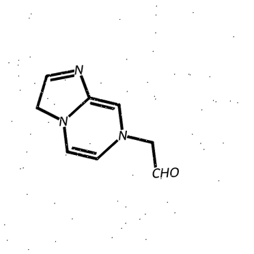 O=CCN1C=CN2CC=NC2=C1